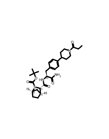 CCC(=O)N1CCC(c2ccc(C[C@H](NC(=O)[C@@H]3[C@H]4CC[C@H](C4)N3C(=O)OC(C)(C)C)C(N)=O)cc2)CC1